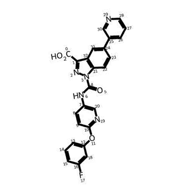 O=C(O)c1nn(C(=O)Nc2ccc(Oc3cccc(F)c3)nc2)c2ccc(-c3cccnc3)cc12